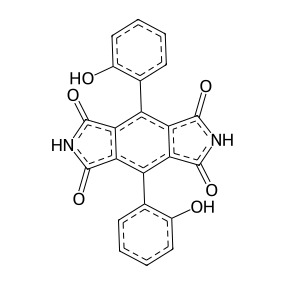 O=c1[nH]c(=O)c2c(-c3ccccc3O)c3c(=O)[nH]c(=O)c3c(-c3ccccc3O)c12